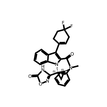 C[C@H]1C[C@]1(c1noc(=O)[nH]1)n1c(C(=O)N(C)c2ccccc2)c(C2=CCC(F)(F)CC2)c2ccccc21